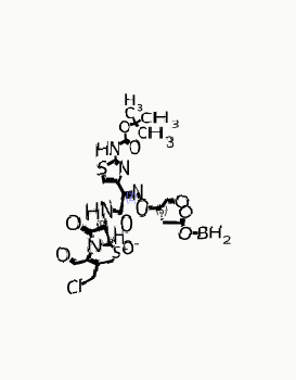 BOC(=O)C[C@@H](C=O)O/N=C(\C(=O)N[C@@H]1C(=O)N2C(C=O)=C(CCl)C[S+]([O-])[C@H]12)c1csc(NC(=O)OC(C)(C)C)n1